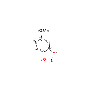 [CH2]Oc1ccc2c(c1)OCO2